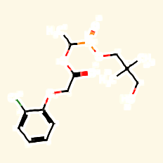 CC(OC(=O)COc1ccccc1Cl)[PH](=O)OCC(C)(C)CO